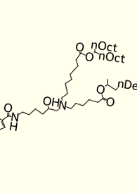 CCCCCCCCCCCC(C)OC(=O)CCCCCN(CCCCCCCC(=O)OC(CCCCCCCC)CCCCCCCC)CC(O)CCCCNC(=O)c1cc[nH]c1